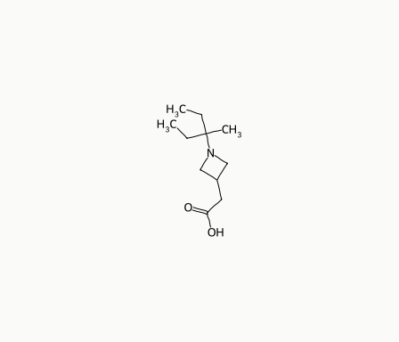 CCC(C)(CC)N1CC(CC(=O)O)C1